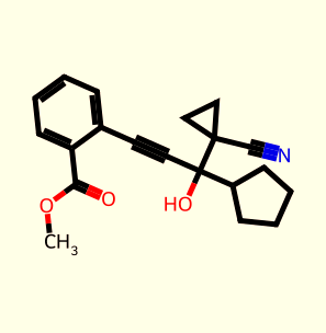 COC(=O)c1ccccc1C#CC(O)(C1CCCC1)C1(C#N)CC1